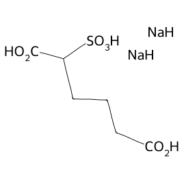 O=C(O)CCCC(C(=O)O)S(=O)(=O)O.[NaH].[NaH]